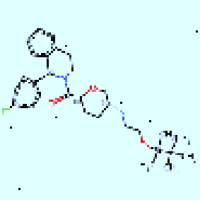 CC(C)(C)[Si](C)(C)OCCN[C@@H]1CC[C@H](C(=O)N2CCc3ccccc3[C@@H]2c2ccc(F)cc2)OC1